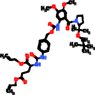 C=CCOC(=O)CCC(NC(=O)Nc1ccc(COC(=O)Nc2cc(OC)c(OC)cc2C(=O)N2CCCC2C(C)(C)O[SiH2]C(C)(C)C)cc1)C(=O)OCC=C